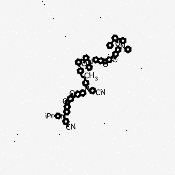 CC(C)c1ccc(N(c2ccc(C#N)cc2)c2ccc3cc4c(cc3c2)oc2cc3oc5cc6cc(N(c7ccc(C#N)cc7)c7ccc(C(C)Cc8ccc(-c9cccc%10c9oc9c(N(c%11ccccc%11)c%11ccc%12cc%13c(cc%12c%11)oc%11cc%12oc%14cc%15cc(N(c%16ccccc%16)c%16cccc%17c%16oc%16c(-c%18ccccc%18)cccc%16%17)ccc%15cc%14c%12cc%11%13)cccc9%10)cc8)cc7)ccc6cc5c3cc24)cc1